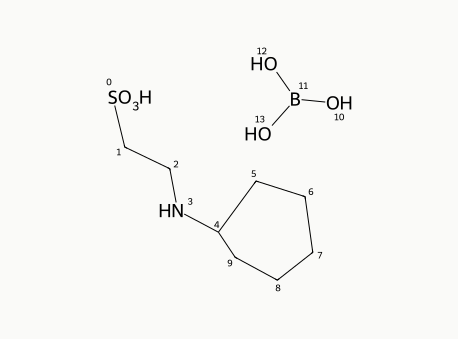 O=S(=O)(O)CCNC1CCCCC1.OB(O)O